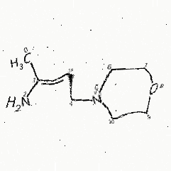 C/C(N)=C/CN1CCOCC1